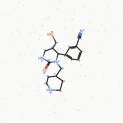 N#Cc1cccc(C2C(CO)CNC(=O)N2CC2CCNCC2)c1